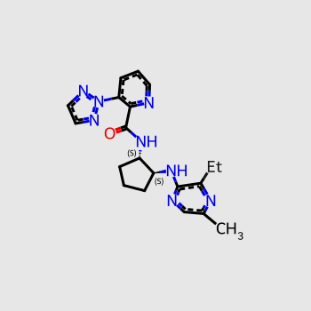 CCc1nc(C)cnc1N[C@H]1CCC[C@@H]1NC(=O)c1ncccc1-n1nccn1